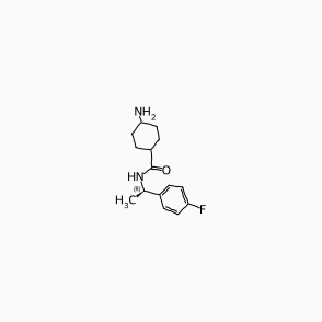 C[C@@H](NC(=O)C1CCC(N)CC1)c1ccc(F)cc1